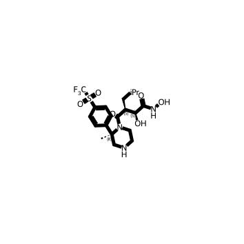 CC(C)C[C@H](C(=O)N1CCNC[C@@]1(C)c1ccc(S(=O)(=O)C(F)(F)F)cc1)[C@H](O)C(=O)NO